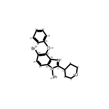 CC(C)n1c(C2CCOCC2)nc2c(Oc3ccccc3)c(Br)ccc21